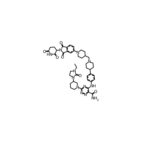 CCN1CCN(C2CCCN(c3nnc(C(N)=O)c(Nc4ccc(C5CCN(CC6CCN(c7ccc8c(c7)C(=O)N(C7CCC(=O)NC7=O)C8=O)CC6)CC5)cc4)n3)C2)C1=O